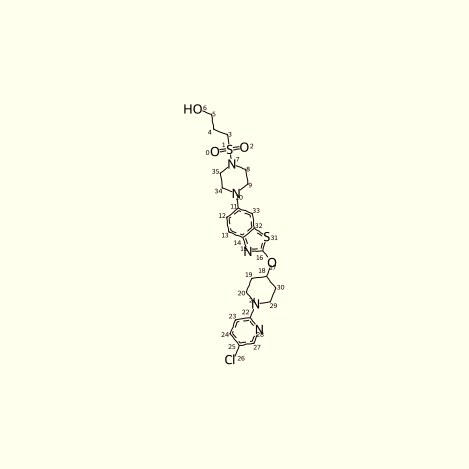 O=S(=O)(CCCO)N1CCN(c2ccc3nc(OC4CCN(c5ccc(Cl)cn5)CC4)sc3c2)CC1